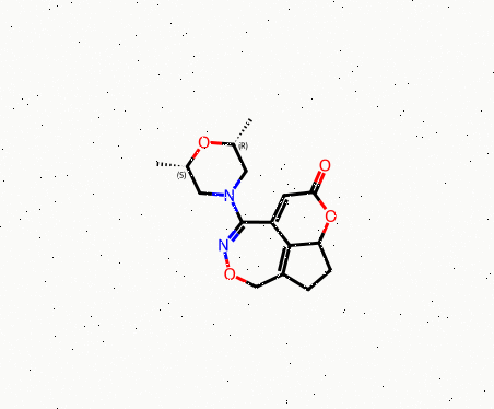 C[C@@H]1CN(C2=NOCC3=C4C2=CC(=O)OC4CC3)C[C@H](C)O1